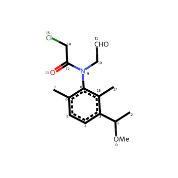 COC(C)c1ccc(C)c(N(CC=O)C(=O)CCl)c1C